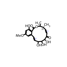 COc1cc(O)c2c(c1)/C=C/C(O)C(O)C(O)C(=O)/C=C\[C@@H](C)C(C)OC2=O